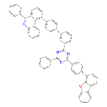 c1ccc(-c2nc(-c3ccc(-c4cccc5c4oc4ccccc45)cc3)nc(-c3cccc(-c4ccc(-c5cccc6c(-c7ccccc7)nc7ccccc7c56)cc4)c3)n2)cc1